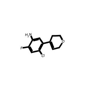 Nc1cc(C2=CCOCC2)c(Cl)cc1F